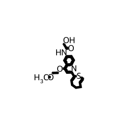 COCCOc1cc(/C2=C/CCC/C=C/S2)nc2ccc(NC(=O)CO)cc12